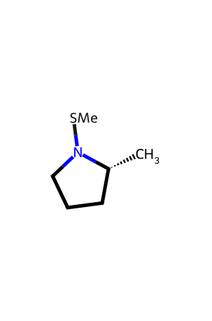 CSN1CCC[C@H]1C